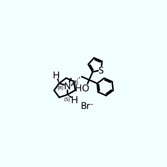 C[N+]1(C)[C@@H]2CC[C@H]1C[C@@H](CC(O)(c1ccccc1)c1cccs1)C2.[Br-]